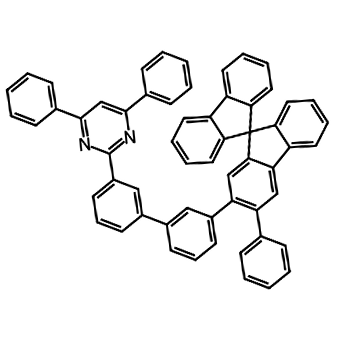 c1ccc(-c2cc(-c3ccccc3)nc(-c3cccc(-c4cccc(-c5cc6c(cc5-c5ccccc5)-c5ccccc5C65c6ccccc6-c6ccccc65)c4)c3)n2)cc1